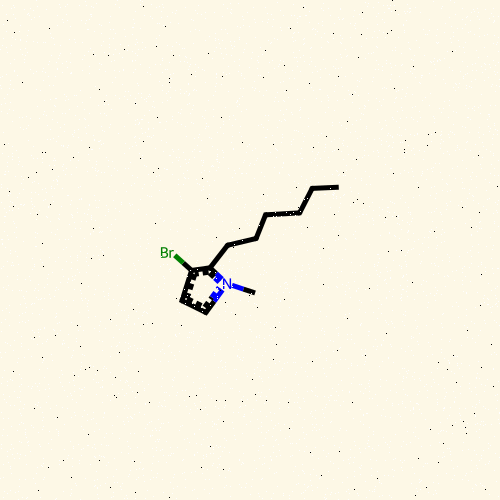 CCCCCCc1c(Br)ccn1C